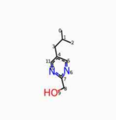 CC(C)Cc1cnc(CO)nc1